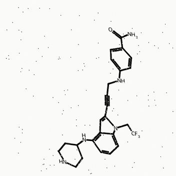 NC(=O)c1ccc(NCC#Cc2cc3c(NC4CCNCC4)cccc3n2CC(F)(F)F)cc1